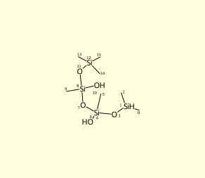 C[SiH](C)O[Si](C)(O)O[Si](C)(O)O[Si](C)(C)C